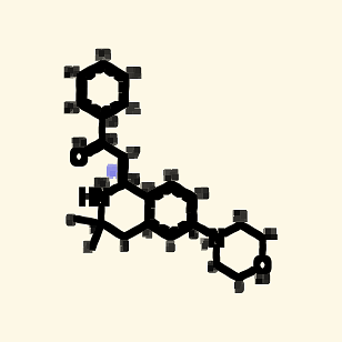 CC1(C)Cc2cc(N3CCOCC3)ccc2/C(=C/C(=O)c2ccccc2)N1